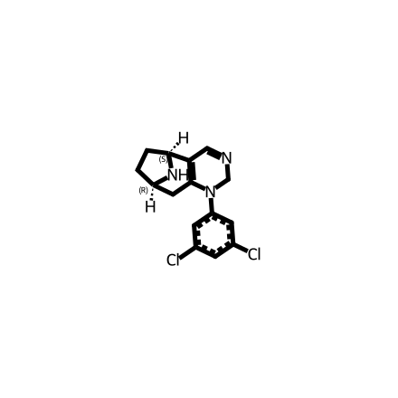 Clc1cc(Cl)cc(N2CN=CC3=C2C[C@H]2CC[C@@H]3N2)c1